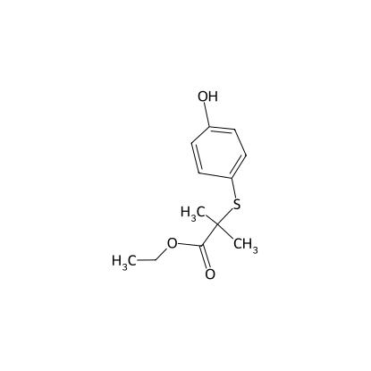 CCOC(=O)C(C)(C)Sc1ccc(O)cc1